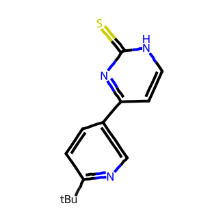 CC(C)(C)c1ccc(-c2cc[nH]c(=S)n2)cn1